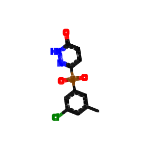 Cc1cc(Cl)cc(S(=O)(=O)c2ccc(=O)[nH]n2)c1